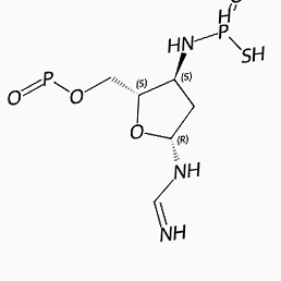 N=CN[C@H]1C[C@H](N[PH](=O)S)[C@@H](COP=O)O1